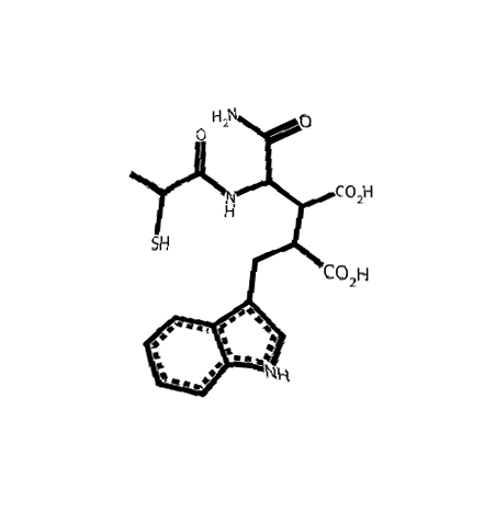 CC(S)C(=O)NC(C(N)=O)C(C(=O)O)C(Cc1c[nH]c2ccccc12)C(=O)O